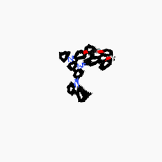 N#Cc1cccc(C#N)c1-c1c(-c2ccccc2)cc(-n2c3ccc(-n4c5ccccc5c5ccccc54)cc3c3ccc4c(c5ccccc5n4-c4ccccc4)c32)cc1-c1ccccc1